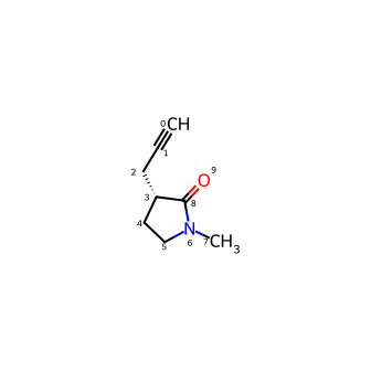 C#CC[C@H]1CCN(C)C1=O